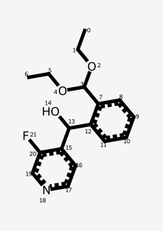 CCOC(OCC)c1ccccc1C(O)c1ccncc1F